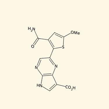 COc1cc(C(N)=O)c(-c2cnc3[nH]cc(C(=O)O)c3n2)s1